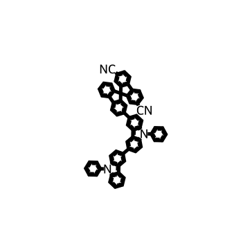 N#Cc1ccc2c(c1)C1(c3ccccc3-c3ccc(-c4ccc5c(c4)c4cc(-c6ccc7c(c6)c6ccccc6n7-c6ccccc6)ccc4n5-c4ccccc4)cc31)c1cc(C#N)ccc1-2